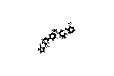 COc1cccc(F)c1CN1C[C@H](n2nnc3cc(-c4ccnc(Nc5ccnn5C)n4)ccc32)CC(F)(F)C1